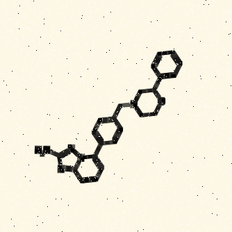 Nc1nc2cccc(-c3ccc(CN4CCOC(c5ccccc5)C4)cc3)n2n1